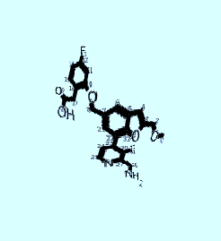 COCc1cc2cc(COc3cc(F)ccc3CC(=O)O)cc(-c3ccnc(CN)c3F)c2o1